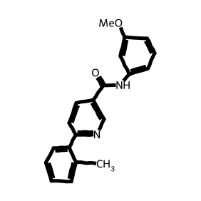 COc1cccc(NC(=O)c2ccc(-c3ccccc3C)nc2)c1